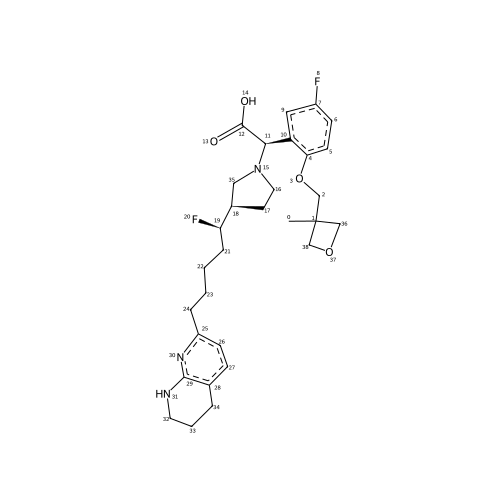 CC1(COc2ccc(F)cc2[C@H](C(=O)O)N2CC[C@@H]([C@H](F)CCCCc3ccc4c(n3)NCCC4)C2)COC1